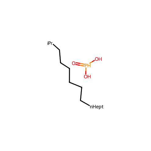 CCCCCCCCCCCCCC(C)C.O=[PH](O)O